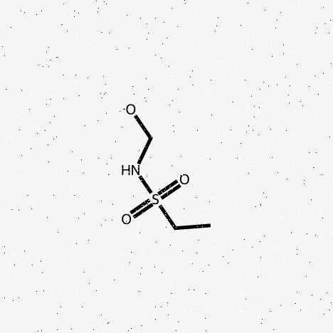 CCS(=O)(=O)NC[O]